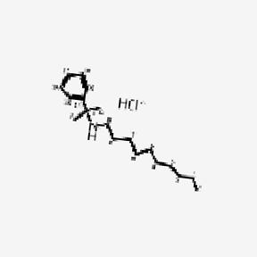 CCCCCCCCCCNC(C)(C)c1ccccc1.Cl